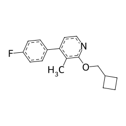 Cc1c(-c2ccc(F)cc2)ccnc1OCC1CCC1